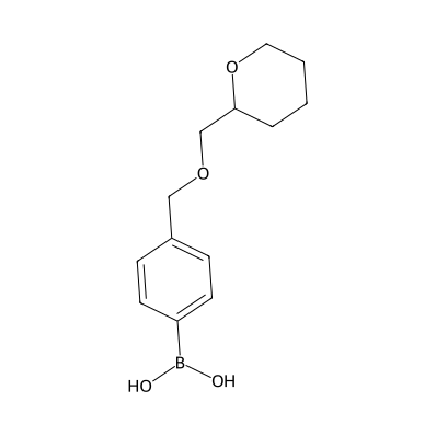 OB(O)c1ccc(COCC2CCCCO2)cc1